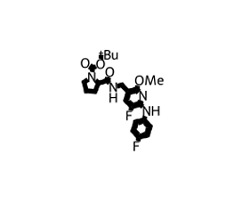 COc1nc(Nc2ccc(F)cc2)c(F)cc1CNC(=O)C1CCCN1C(=O)OC(C)(C)C